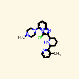 Cc1cccnc1C1CCCC(c2nc3cccc(N4CCN(C)CC4)n3c2Cl)N1